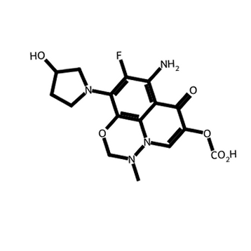 CN1COc2c(N3CCC(O)C3)c(F)c(N)c3c(=O)c(OC(=O)O)cn1c23